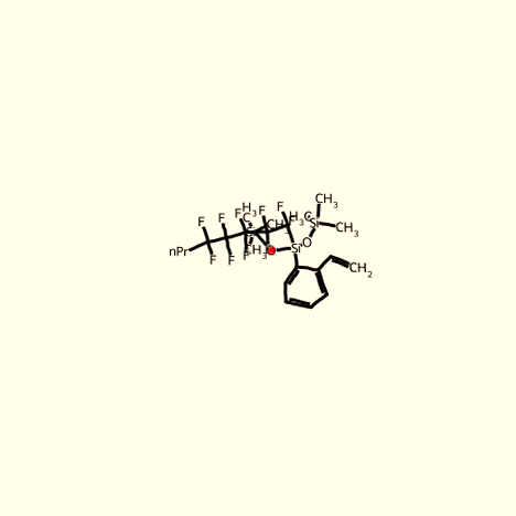 C=Cc1ccccc1[Si](O[Si](C)(C)C)(O[Si](C)(C)C)C(F)(F)C(F)(F)C(F)(F)C(F)(F)C(F)(F)CCC